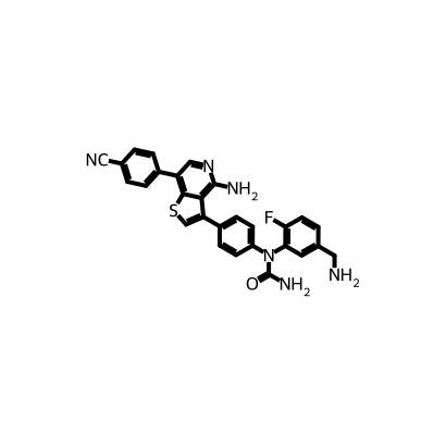 N#Cc1ccc(-c2cnc(N)c3c(-c4ccc(N(C(N)=O)c5cc(CN)ccc5F)cc4)csc23)cc1